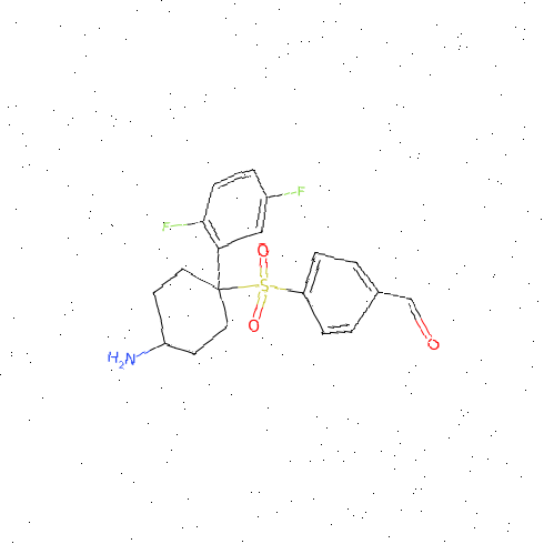 NC1CCC(c2cc(F)ccc2F)(S(=O)(=O)c2ccc(C=O)cc2)CC1